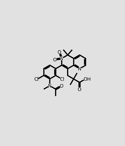 CC(=O)N(C)c1c(Cl)ccc(C2=C(CC(C)(C)C(=O)O)c3ncccc3C(C)(C)S2(=O)=O)c1Cl